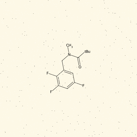 CN(Cc1cc(F)cc(F)c1F)C(=O)C(C)(C)C